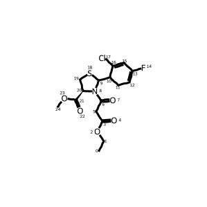 CCOC(=O)CC(=O)N1C(C2CC=C(F)C=C2Cl)SC[C@@H]1C(=O)OC